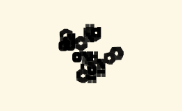 CCNc1cc(C(=O)N[C@@H](Cc2ccccc2)[C@H](O)CNC2Cc3ccccc3C2)cc(N2CCCCS2(=O)=O)c1.Cl